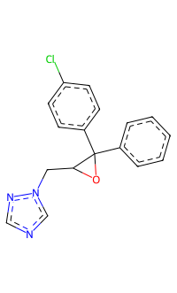 Clc1ccc(C2(c3ccccc3)OC2Cn2cncn2)cc1